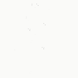 CC(C(N)=O)n1c(C(=O)N2CCCCC2)c(CN2CCC(c3c(Cl)cccc3Cl)CC2)c2ccccc21